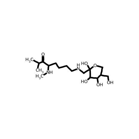 CNC(CCCCNCC1(O)OCC(CO)C(O)C1O)C(=O)C(C)C